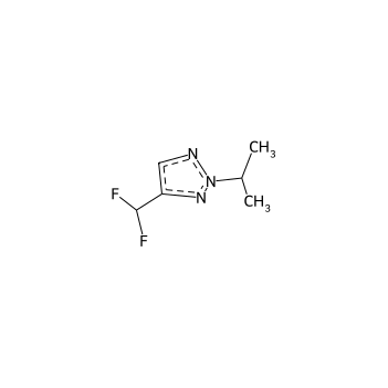 CC(C)n1ncc(C(F)F)n1